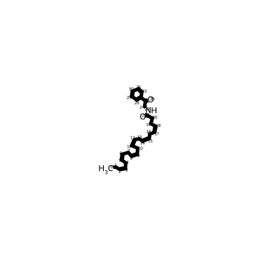 CC/C=C\C/C=C\C/C=C\C/C=C\C/C=C\C/C=C\CCC(=O)NCC(=O)c1ccccc1